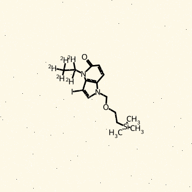 [2H]C([2H])([2H])C([2H])([2H])n1c(=O)ccc2c1c(I)cn2COCC[Si](C)(C)C